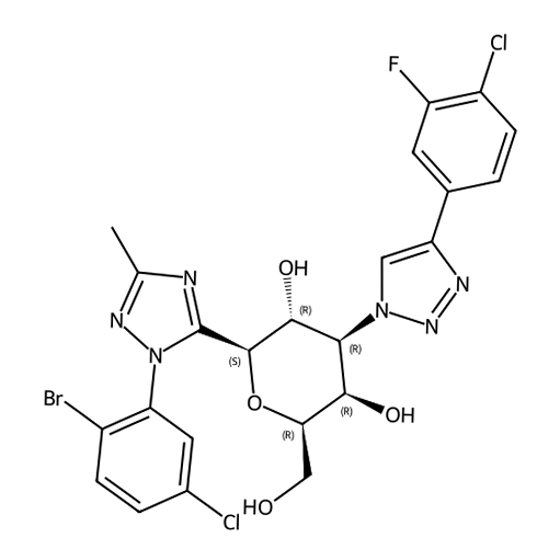 Cc1nc([C@@H]2O[C@H](CO)[C@H](O)[C@H](n3cc(-c4ccc(Cl)c(F)c4)nn3)[C@H]2O)n(-c2cc(Cl)ccc2Br)n1